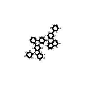 C1=CC(c2ccccc2-c2ccc3c4ccccc4n(-c4ccccc4)c3c2)CC=C1N(c1ccc(-c2ccccc2)cc1)c1cccc2ccccc12